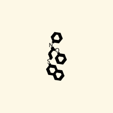 C(=CC(=Nc1ccccc1)Oc1ccccc1)Sc1ccc2ccccc2c1